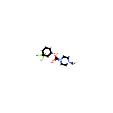 CC(C)N1CCN(C(=O)O[C@H]2CCCC(F)(F)C2)CC1